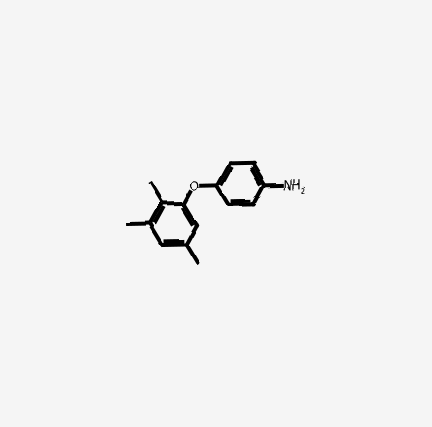 Cc1cc(C)c(C)c(Oc2ccc(N)cc2)c1